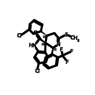 CSC1=N[C@@H](c2ccccc2C(F)(F)F)[C@@]2(C(=O)Nc3cc(Cl)ccc32)[C@H](C2C=CC=C(Cl)C2)C1